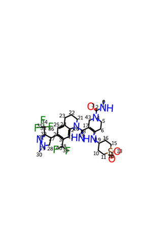 CNC(=O)N1CCC(NC2CCS(=O)(=O)CC2)=C(C(=N)N2CCCc3cc(C4CN(C)N=C4C(F)(F)F)c(C(F)F)cc32)C1